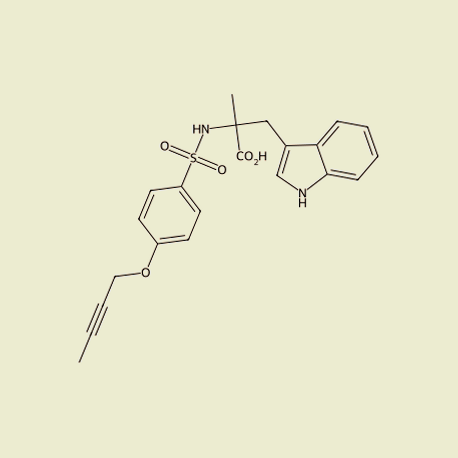 CC#CCOc1ccc(S(=O)(=O)NC(C)(Cc2c[nH]c3ccccc23)C(=O)O)cc1